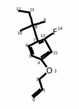 C=CCOc1ccc(C(C)(C)CC)c(F)c1